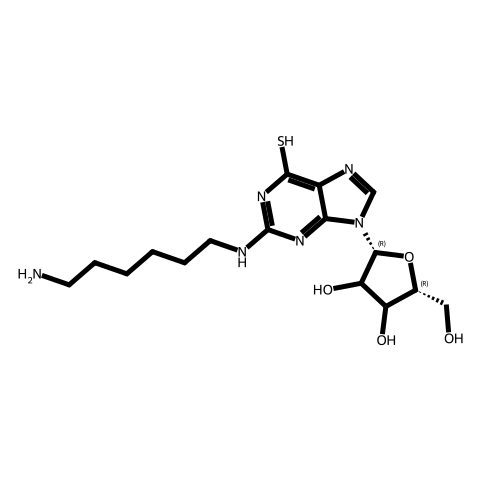 NCCCCCCNc1nc(S)c2ncn([C@@H]3O[C@H](CO)C(O)C3O)c2n1